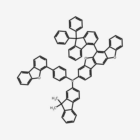 CC1(C)c2ccccc2-c2ccc(N(c3ccc(-c4cccc5c4oc4ccccc45)cc3)c3ccc4c(c3)oc3c(-c5cccc6c5-c5ccccc5C6(c5ccccc5)c5ccccc5)c5c(cc34)oc3ccccc35)cc21